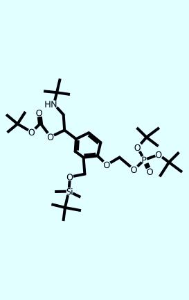 CC(C)(C)NCC(OC(=O)OC(C)(C)C)c1ccc(OCOP(=O)(OC(C)(C)C)OC(C)(C)C)c(CO[Si](C)(C)C(C)(C)C)c1